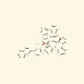 CC1(C)c2cc(-c3ccc4ccccc4c3)ccc2-c2ccc(N(c3ccccc3-c3ccccc3)c3cccc4c3-c3ccccc3C4(c3ccccc3)c3ccccc3)cc21